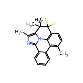 Cc1nc2c3ccccc3c3c(C)ccc4c3n2c1C(C)(C)C4(F)F